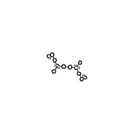 c1ccc(-c2nc(-c3ccc(-c4ccc(-c5cc(-c6ccc(-c7cccc8cccnc78)cc6)nc(-c6ccccc6)n5)cc4)cc3)cc(-c3ccc(-c4cccc5cccnc45)cc3)n2)cc1